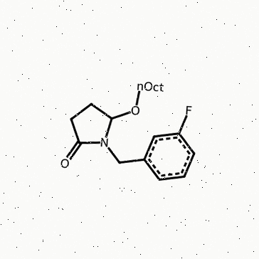 CCCCCCCCOC1CCC(=O)N1Cc1cccc(F)c1